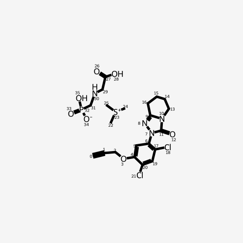 C#CCOc1cc(-n2nc3n(c2=O)CCCC3)c(Cl)cc1Cl.C[S+](C)C.O=C(O)CNCP(=O)([O-])O